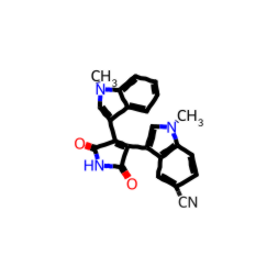 Cn1cc(C2=C(c3cn(C)c4ccc(C#N)cc34)C(=O)NC2=O)c2ccccc21